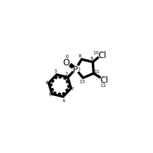 O=P1(c2ccccc2)CC(Cl)C(Cl)C1